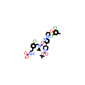 COC(=O)NCCc1ccc(Cl)c(CN(C(=O)[C@H]2CN(C(=O)OC(C)(C)C)CC[C@@H]2c2ccc(N3CC[C@@H](Oc4c(Cl)cc(C)cc4Cl)C3)nc2)C2CC2)c1